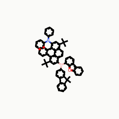 CC(C)(C)c1cc(N(c2ccccc2)c2ccccc2)c2c3ccccc3c3c(C(C)(C)C)cc(B(c4ccc5c(c4)C(C)(C)c4ccccc4-5)c4cccc5c4oc4ccccc45)c4ccc1c2c43